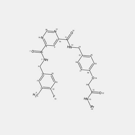 Cc1cc(CNC(=O)c2cc(C(=O)NCc3ccc(OCC(=O)NC(C)C)cc3)ncn2)ccc1F